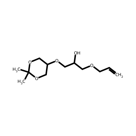 C=CCOCC(O)COC1COC(C)(C)OC1